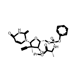 C#C[C@]1(C)[C@H](O)[C@@H](CO[P@](=O)(N[C@H](C)C(=O)OC(C)C)Oc2ccccc2)O[C@H]1N1C=CC(=O)NC1=C